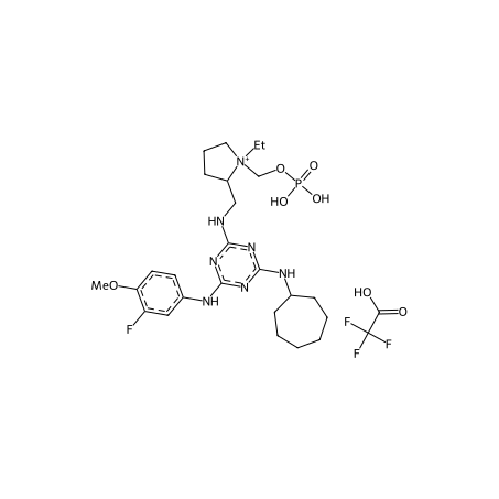 CC[N+]1(COP(=O)(O)O)CCCC1CNc1nc(Nc2ccc(OC)c(F)c2)nc(NC2CCCCCC2)n1.O=C(O)C(F)(F)F